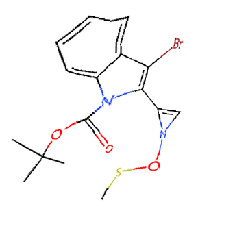 CSON1C=C1c1c(Br)c2ccccc2n1C(=O)OC(C)(C)C